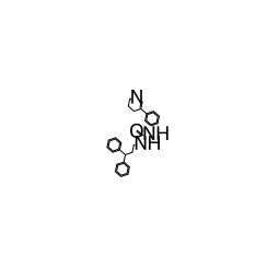 O=C(NCCC(c1ccccc1)c1ccccc1)Nc1cccc(C2=CN=CCC2)c1